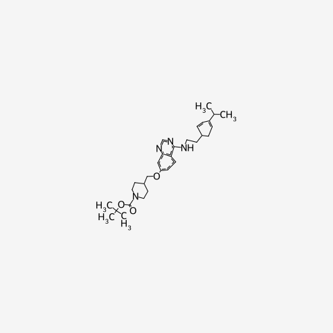 CC(C)C1=CCC(CCNc2ncnc3cc(OCC4CCN(C(=O)OC(C)(C)C)CC4)ccc23)C=C1